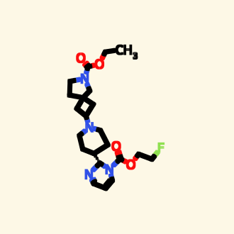 CCOC(=O)N1CCC2(CC(N3CCC([C@H]4N=CC=CN4C(=O)OCCF)CC3)C2)C1